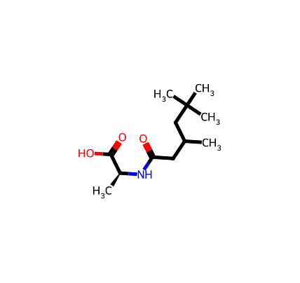 CC(CC(=O)N[C@@H](C)C(=O)O)CC(C)(C)C